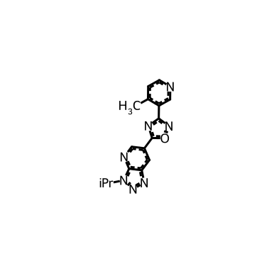 Cc1ccncc1-c1noc(-c2cnc3c(c2)nnn3C(C)C)n1